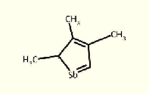 C[C]1[Sb]=[CH]C(C)=C1C